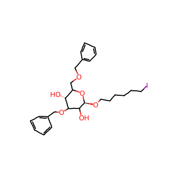 OC1C(OCc2ccccc2)[C@H](O)C(COCc2ccccc2)O[C@H]1OCCCCCCI